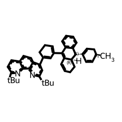 C[C@H]1C=CC([C@H]2c3ccccc3C(C3=CCCC(c4cc(C(C)(C)C)nc5c4ccc4ccc(C(C)(C)C)nc45)=C3)=C3C=CCC[C@@H]32)=CC1